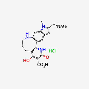 CNCc1cc2cc3c(cc2n1C)NCCCc1c-3[nH]c(=O)c(C(=O)O)c1O.Cl